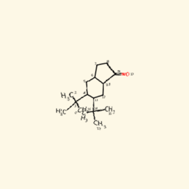 CC(C)(C)C1CC2CCC(=O)C2CC1C(C)(C)C